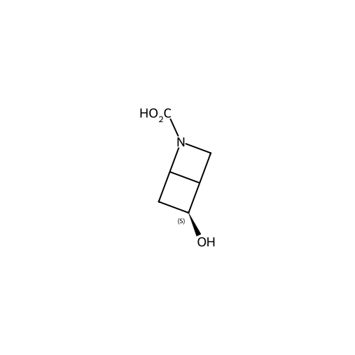 O=C(O)N1CC2C1C[C@@H]2O